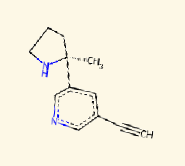 C#Cc1cncc([C@]2(C)CCCN2)c1